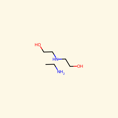 CCN.OCCNCCO